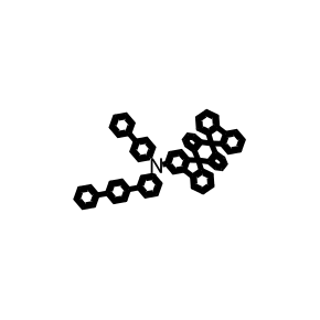 c1ccc(-c2ccc(-c3cccc(N(c4ccc(-c5ccccc5)cc4)c4ccc5c(c4)-c4ccccc4C54c5ccccc5C5(c6ccccc6-c6ccccc65)c5ccccc54)c3)cc2)cc1